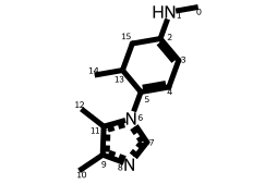 CNC1=CC=C(n2cnc(C)c2C)C(C)C1